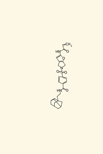 C=CC(=O)Nc1cc2c(o1)CN(S(=O)(=O)c1ccc(C(=O)NCCC34CC5CC(CC(C5)C3)C4)cc1)C2